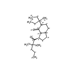 CCCC(C)(C)C(=O)[C@@H]1CCN2CCN(C(C)(CC)CC)C(=O)N12